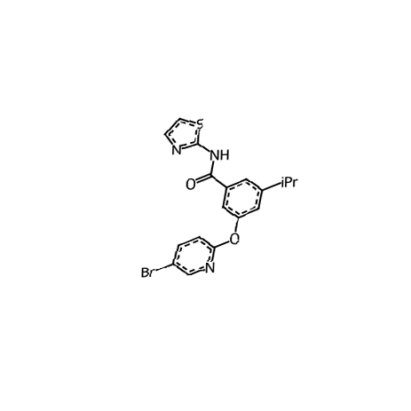 CC(C)c1cc(Oc2ccc(Br)cn2)cc(C(=O)Nc2nccs2)c1